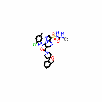 CCNC(=O)NS(=O)(=O)c1cnn2c(Nc3cc(C)ccc3Cl)c(C(=O)N3CCC4(CC3)OCc3ccccc34)cnc12